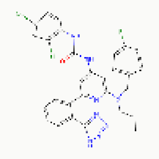 CCCN(Cc1ccc(F)cc1)c1cc(NC(=O)Nc2ccc(Cl)cc2Cl)cc(-c2ccccc2-c2nnn[nH]2)n1